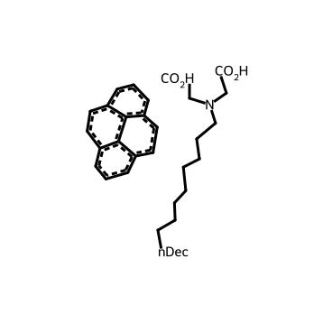 CCCCCCCCCCCCCCCCCCN(CC(=O)O)CC(=O)O.c1cc2ccc3cccc4ccc(c1)c2c34